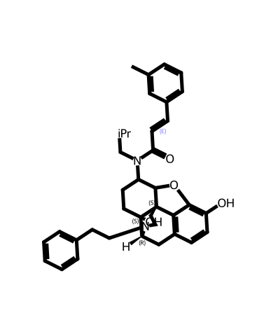 Cc1cccc(/C=C/C(=O)N(CC(C)C)C2CC[C@@]3(O)[C@H]4Cc5ccc(O)c6c5[C@@]3(CCN4CCc3ccccc3)C2O6)c1